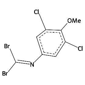 COc1c(Cl)cc(N=C(Br)Br)cc1Cl